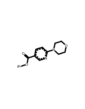 CC(C)OC(=O)c1ccc(N2CCOCC2)nc1